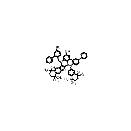 CC(C)(C)c1ccc(CN2c3cc(C(C)(C)C)cc4c3B(c3oc5cc6c(cc5c32)C(C)(C)CCC6(C)C)N(c2ccc3c(c2)C(C)(C)CCC3(C)C)c2ccc(-c3ccccc3)cc2-4)c(-c2ccccc2)c1